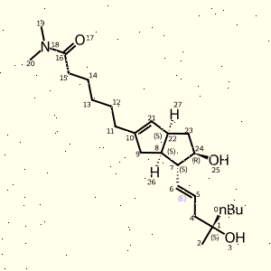 CCCC[C@](C)(O)C/C=C/[C@@H]1[C@H]2CC(CCCCCC(=O)N(C)C)=C[C@H]2C[C@H]1O